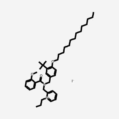 CCCCCCCCCCCCCCOc1ccc(CN(Cc2cccc[n+]2CCC)C(=O)c2ccccc2OC)cc1C(C)(C)C.[I-]